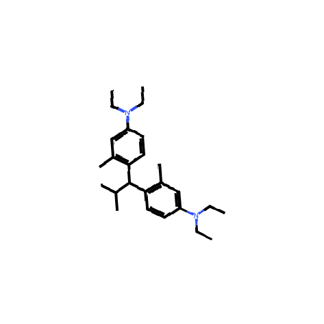 CCN(CC)c1ccc(C(c2ccc(N(CC)CC)cc2C)C(C)C)c(C)c1